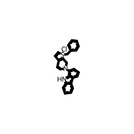 ClS1(Cc2ccccc2)C=CC2=C1CN(c1cccc3c1[nH]c1ccccc13)C=C2